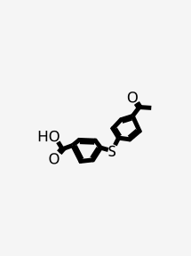 CC(=O)c1ccc(Sc2ccc(C(=O)O)cc2)cc1